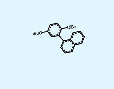 CC(C)COc1ccc(OCC(C)C)c(-c2cccc3ccccc23)c1